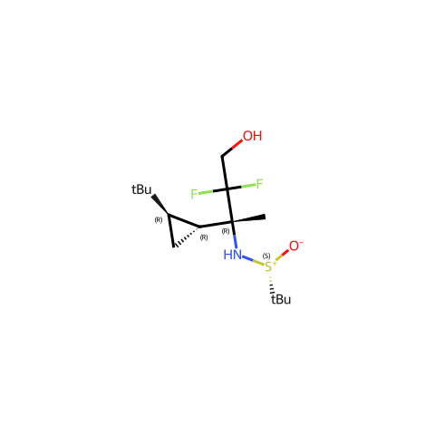 CC(C)(C)[C@@H]1C[C@H]1[C@@](C)(N[S@+]([O-])C(C)(C)C)C(F)(F)CO